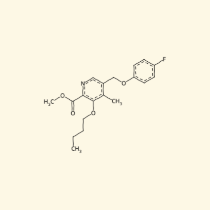 CCCCOc1c(C(=O)OC)ncc(COc2ccc(F)cc2)c1C